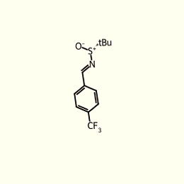 CC(C)(C)[S@@+]([O-])/N=C/c1ccc(C(F)(F)F)cc1